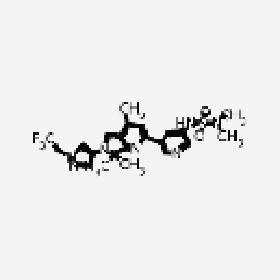 Cc1cc(-c2cncc(NS(=O)(=O)N(C)C)c2)nc2c1CN(c1cnn(CC(F)(F)F)c1)C2(C)C